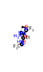 CCOc1cc(C(=O)Nc2cc(C(F)(F)F)ccn2)ccc1-c1nc([C@@H]2CC[C@H](C(F)(F)F)N(C(=O)C3CC3)C2)n2ccnc(N)c12